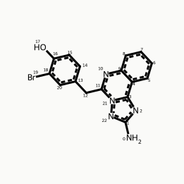 Nc1nc2c3ccccc3nc(Cc3ccc(O)c(Br)c3)n2n1